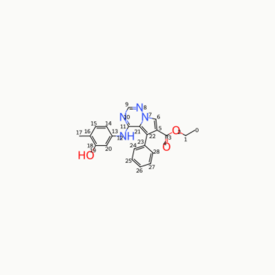 CCOC(=O)c1cn2ncnc(Nc3ccc(C)c(O)c3)c2c1-c1ccccc1